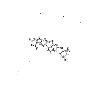 CNc1nc(N[C@H]2CCN(C(C)=O)C[C@H]2F)nn2ccc(-c3ccc4nc(C)n(C(F)F)c4n3)c12